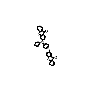 O=c1c2ccccc2sc2cc([S+](c3ccccc3)c3ccc(Sc4ccc5sc6ccccc6c(=O)c5c4)cc3)ccc12